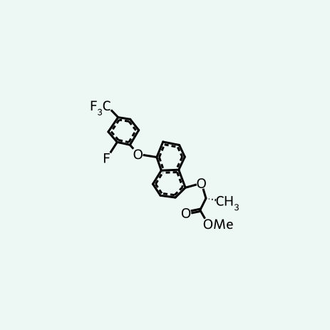 COC(=O)[C@@H](C)Oc1cccc2c(Oc3ccc(C(F)(F)F)cc3F)cccc12